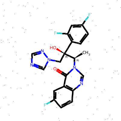 C[C@@H](n1cnc2ccc(F)cc2c1=O)[C@](O)(Cn1cncn1)c1ccc(F)cc1F